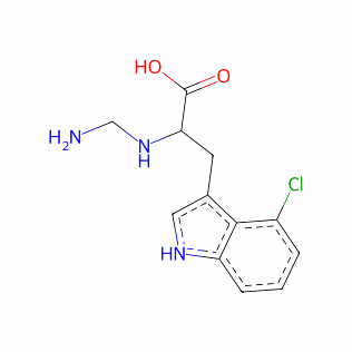 NCNC(Cc1c[nH]c2cccc(Cl)c12)C(=O)O